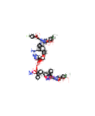 CCC(=O)C(CC(C)N(C)C)(c1ccccc1)c1ccccc1.CCOC(=O)C1(c2ccccc2)CCN(C)CC1.CN(C)C(=O)C(CCN1CCC(O)(c2ccc(Cl)cc2)CC1)(c1ccccc1)c1ccccc1.CNCCC=C1c2ccccc2CCc2ccccc21.O=C(CCCN1CCC(O)(c2ccc(Cl)cc2)CC1)c1ccc(F)cc1